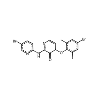 Cc1cc(Br)cc(C)c1OC1C=CN=C(Nc2ccc(Br)cn2)C1=O